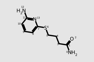 NC(=O)CCCSc1cccc(N)n1